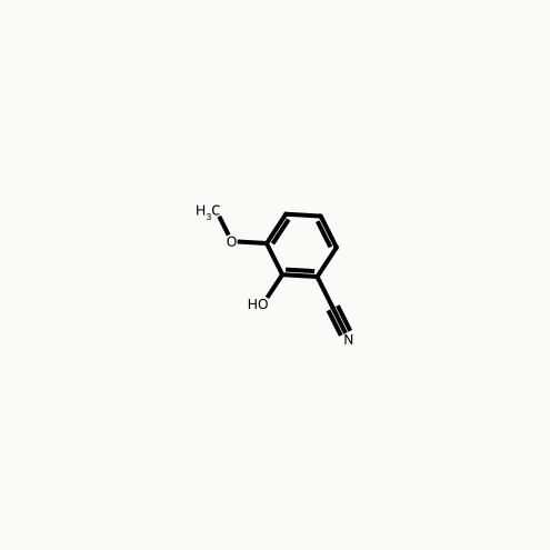 COc1cccc(C#N)c1O